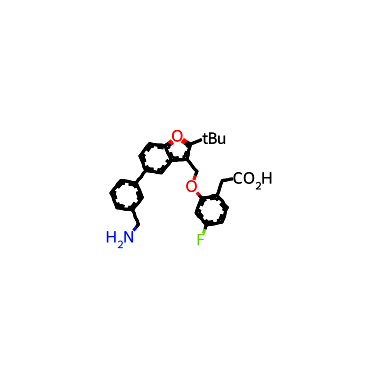 CC(C)(C)c1oc2ccc(-c3cccc(CN)c3)cc2c1COc1cc(F)ccc1CC(=O)O